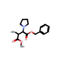 CCCCC(C(=O)OC(C)(C)C)C(C(=O)OCc1ccccc1)N1CCCC1